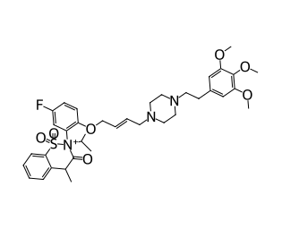 COc1cc(CCN2CCN(CC=CCOc3ccc(F)cc3[N+]3(C(C)C)C(=O)C(C)c4ccccc4S3(=O)=O)CC2)cc(OC)c1OC